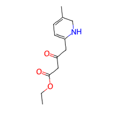 CCOC(=O)CC(=O)CC1=CC=C(C)CN1